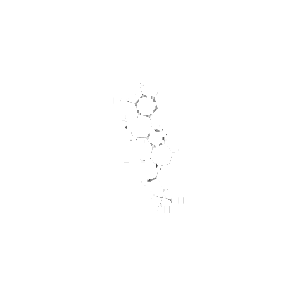 Cc1cc(-n2nc3c(c2N=C=O)[C@H](C)N(C(=O)OC(C)(C)C)CC3)cc(C)c1F